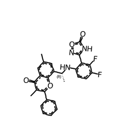 Cc1cc([C@@H](C)Nc2ccc(F)c(F)c2-c2noc(=O)[nH]2)c2oc(-c3ccccc3)c(C)c(=O)c2c1